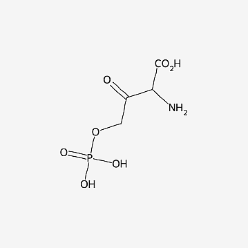 NC(C(=O)O)C(=O)COP(=O)(O)O